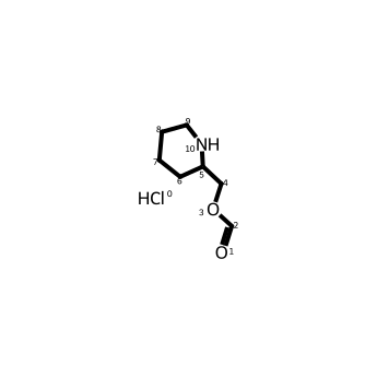 Cl.O=COCC1CCCCN1